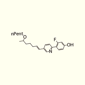 CCCCCOC(C)CCCC=Cc1ccc(-c2ccc(O)cc2F)nc1